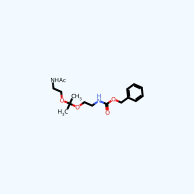 CC(=O)NCCOC(C)(C)OCCNC(=O)OCc1ccccc1